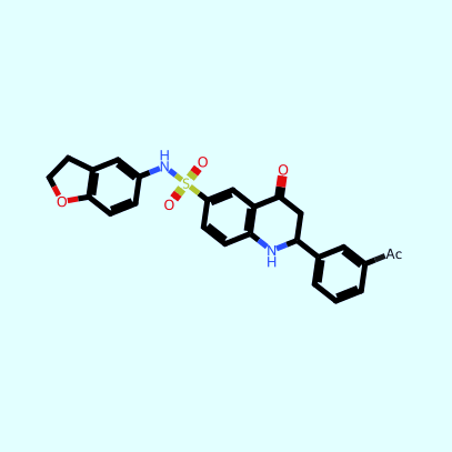 CC(=O)c1cccc(C2CC(=O)c3cc(S(=O)(=O)Nc4ccc5c(c4)CCO5)ccc3N2)c1